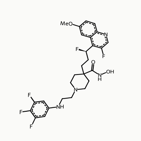 COc1ccc2ncc(F)c([C@H](F)CCC3(C(=O)NO)CCN(CCNc4cc(F)c(F)c(F)c4)CC3)c2c1